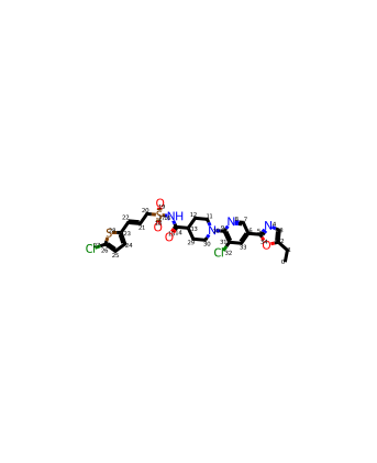 CCc1cnc(-c2cnc(N3CCC(C(=O)NS(=O)(=O)CC=Cc4ccc(Cl)s4)CC3)c(Cl)c2)o1